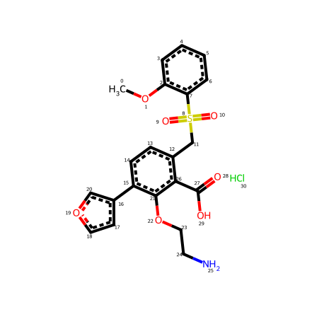 COc1ccccc1S(=O)(=O)Cc1ccc(-c2ccoc2)c(OCCN)c1C(=O)O.Cl